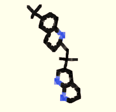 CC(C)(C)c1ccc2nc(CC(C)(C)c3cnc4ncccc4c3)ccc2c1